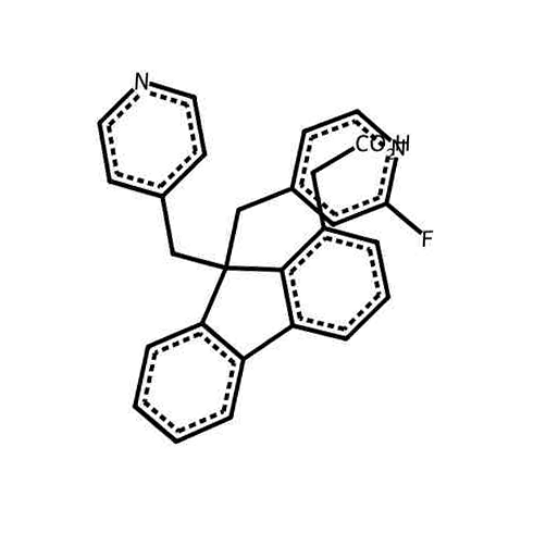 O=C(O)Cc1cccc2c1C(Cc1ccncc1)(Cc1ccnc(F)c1)c1ccccc1-2